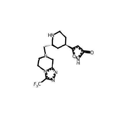 O=c1cc([C@@H]2CCN[C@@H](CN3CCn4c(nnc4C(F)(F)F)C3)C2)o[nH]1